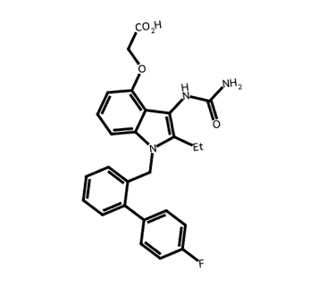 CCc1c(NC(N)=O)c2c(OCC(=O)O)cccc2n1Cc1ccccc1-c1ccc(F)cc1